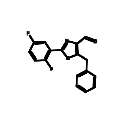 O=Cc1nc(-c2cc(F)ccc2F)oc1Cc1ccccc1